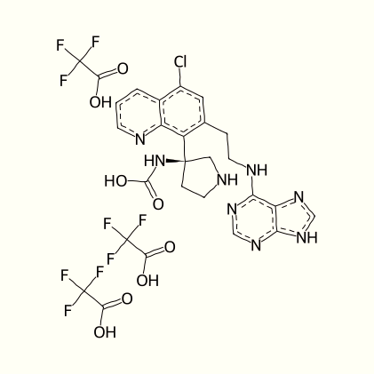 O=C(O)C(F)(F)F.O=C(O)C(F)(F)F.O=C(O)C(F)(F)F.O=C(O)N[C@]1(c2c(CCNc3ncnc4[nH]cnc34)cc(Cl)c3cccnc23)CCNC1